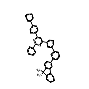 CC1(C)c2ccccc2-c2cc(-c3cccc(-c4cccc(-c5cc(-c6ccc(-c7ccccc7)cc6)nc(-c6ccccc6)n5)c4)c3)ccc21